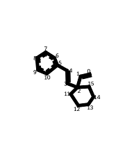 C=CC1(C=Cc2ccccc2)CCCCC1